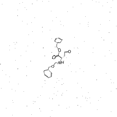 O=CC[C@H](NCOCc1ccccc1)C(=O)OCc1ccccc1